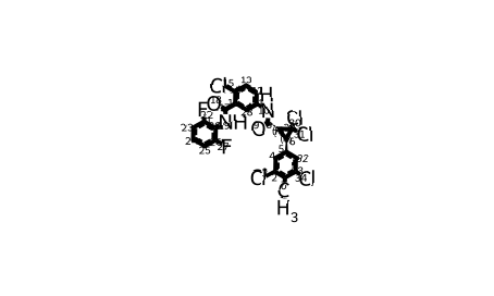 Cc1c(Cl)cc([C@H]2[C@H](C(=O)Nc3ccc(Cl)c(C(=O)Nc4c(F)cccc4F)c3)C2(Cl)Cl)cc1Cl